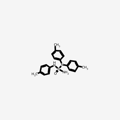 Cc1ccc(NP(N)(=O)N(c2ccc(C)cc2)c2ccc(C)cc2)cc1